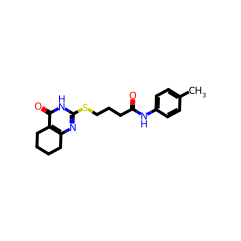 Cc1ccc(NC(=O)CCCSc2nc3c(c(=O)[nH]2)CCCC3)cc1